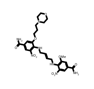 COc1cc(C(N)=O)cc([N+](=O)[O-])c1NCC=CCNc1c(OCCCN2CCOCC2)cc(C(N)=O)cc1[N+](=O)[O-]